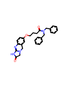 O=C1CN2Cc3cc(OCCCC(=O)N(Cc4ccccc4)Cc4ccccc4)ccc3N=C2N1